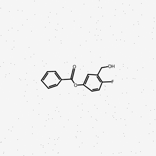 O=C(Oc1ccc(F)c(CO)c1)c1ccccc1